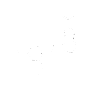 COc1ccc(CNc2ncnc3cc(C(=O)O)cn23)c(OC)c1